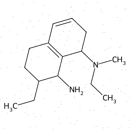 CCC1CCC2=C(C1N)C(N(C)CC)CC=C2